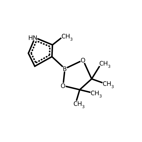 Cc1[nH]ccc1B1OC(C)(C)C(C)(C)O1